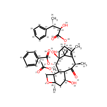 CC(=O)O[C@@]12CO[C@@H]1C[C@H](O)C1C(=O)[C@H](C)C3=C(C)[C@@H](OC(=O)[C@H](O)[C@@H](C)c4ccccc4)C[C@@](O)([C@@H](OC(=O)c4ccccc4)[C@@H]12)C3(C)C